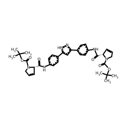 CC(C)(C)OC(=O)N1CC=C[C@H]1C(=O)Nc1ccc(-c2cc(-c3ccc(NC(=O)[C@@H]4C=CCN4C(=O)OC(C)(C)C)cc3)[nH]n2)cc1